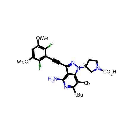 COc1cc(OC)c(F)c(C#Cc2nn([C@H]3CCN(C(=O)O)C3)c3c(C#N)c(C(C)(C)C)nc(N)c23)c1F